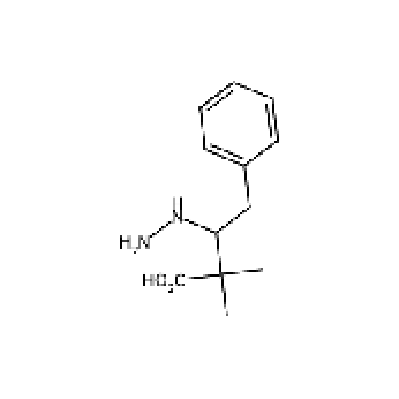 CC(C)(C(=O)O)C(Cc1ccccc1)NN